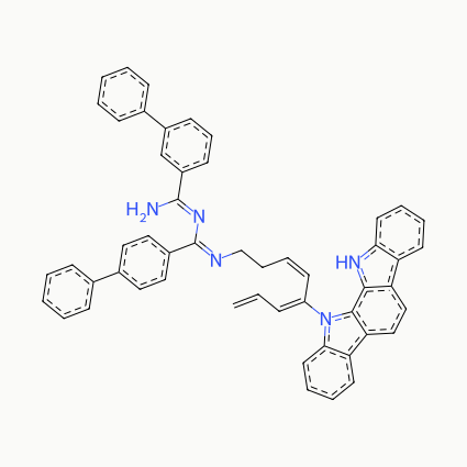 C=C/C=C(\C=C/CC/N=C(\N=C(/N)c1cccc(-c2ccccc2)c1)c1ccc(-c2ccccc2)cc1)n1c2ccccc2c2ccc3c4ccccc4[nH]c3c21